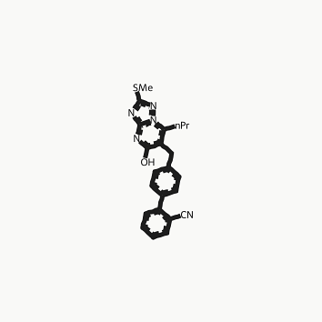 CCCc1c(Cc2ccc(-c3ccccc3C#N)cc2)c(O)nc2nc(SC)nn12